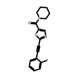 O=C(c1cnc(C#Cc2ccccc2F)s1)N1CCCCC1